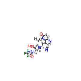 Cn1c(=O)ccc2ncc(C#N)c(CCN3C[C@H](CNC(=O)C(F)(F)F)[C@H](O)C3)c21